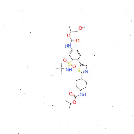 COCC(C)OC(=O)Nc1ccc(-c2cnc(C3CCC(NC(=O)OC(C)C)CC3)s2)c(S(=O)(=O)NC(C)(C)C)c1